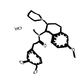 COc1ccc2c(c1)CCC(N1CCCC1)C2N(C)C(=O)Cc1ccc(Cl)c(Cl)c1.Cl